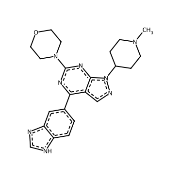 CN1CCC(n2ncc3c(-c4ccc5[nH]cnc5c4)nc(N4CCOCC4)nc32)CC1